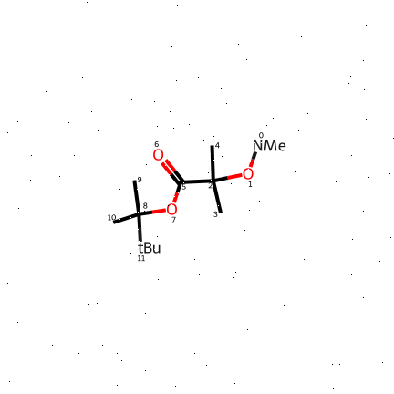 CNOC(C)(C)C(=O)OC(C)(C)C(C)(C)C